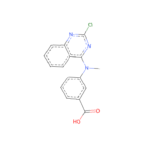 CN(c1cccc(C(=O)O)c1)c1nc(Cl)nc2ccccc12